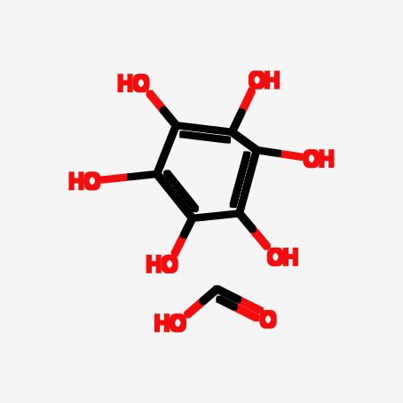 O=CO.Oc1c(O)c(O)c(O)c(O)c1O